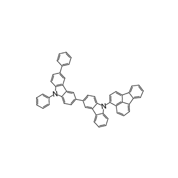 c1ccc(-c2ccc3c(c2)c2cc(-c4ccc5c(c4)c4ccccc4n5-c4ccc5c6c(cccc46)-c4ccccc4-5)ccc2n3-c2ccccc2)cc1